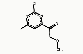 COCC(=O)c1cc(I)nc(Cl)n1